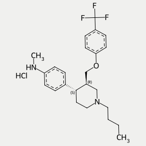 CCCCN1CC[C@H](c2ccc(NC)cc2)[C@@H](COc2ccc(C(F)(F)F)cc2)C1.Cl